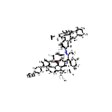 CC(C)(C)c1ccc(-c2ccc(-c3ccc(N(c4ccc5c(c4)-c4cc6ccccc6cc4C5(C)C)c4ccc5ccccc5c4-c4ccc5c(c4)C(C)(C)c4ccccc4-5)cc3)cc2)cc1